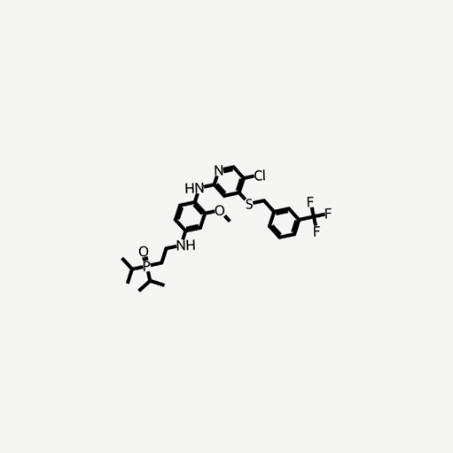 COc1cc(NCCP(=O)(C(C)C)C(C)C)ccc1Nc1cc(SCc2cccc(C(F)(F)F)c2)c(Cl)cn1